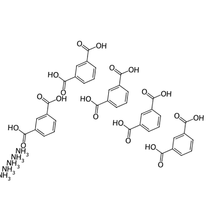 N.N.N.N.N.O=C(O)c1cccc(C(=O)O)c1.O=C(O)c1cccc(C(=O)O)c1.O=C(O)c1cccc(C(=O)O)c1.O=C(O)c1cccc(C(=O)O)c1.O=C(O)c1cccc(C(=O)O)c1